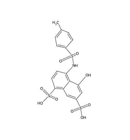 Cc1ccc(S(=O)(=O)Nc2ccc(S(=O)(=O)O)c3cc(S(=O)(=O)O)cc(O)c23)cc1